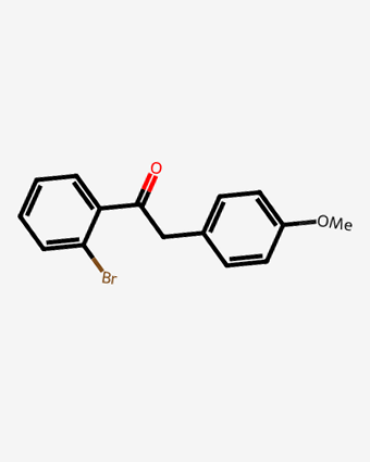 COc1ccc(CC(=O)c2ccccc2Br)cc1